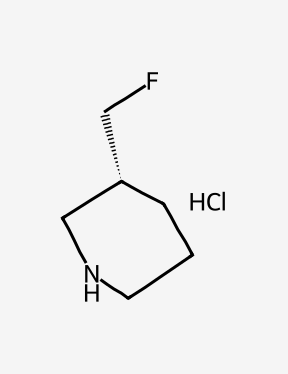 Cl.FC[C@@H]1CCCNC1